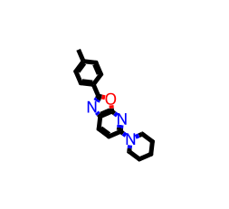 Cc1ccc(-c2nc3ccc(N4CCCCC4)nc3o2)cc1